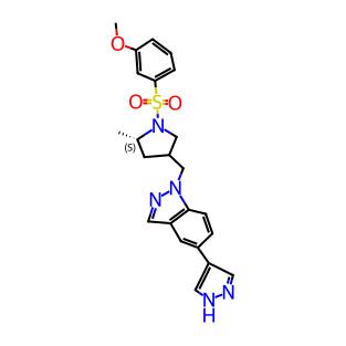 COc1cccc(S(=O)(=O)N2CC(Cn3ncc4cc(-c5cn[nH]c5)ccc43)C[C@@H]2C)c1